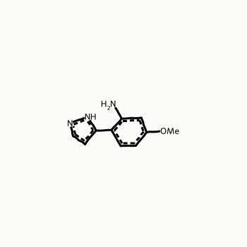 COc1ccc(-c2ccn[nH]2)c(N)c1